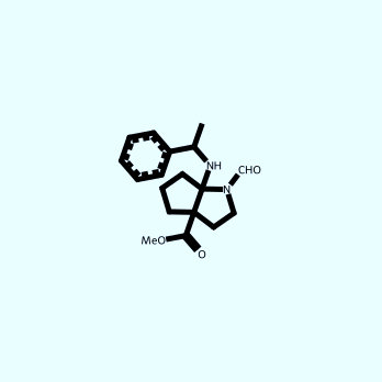 COC(=O)C12CCCC1(NC(C)c1ccccc1)N(C=O)CC2